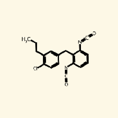 CCCc1cc(Cc2c(N=C=O)cccc2N=C=O)ccc1Cl